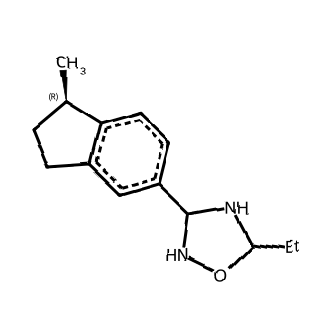 CCC1NC(c2ccc3c(c2)CC[C@H]3C)NO1